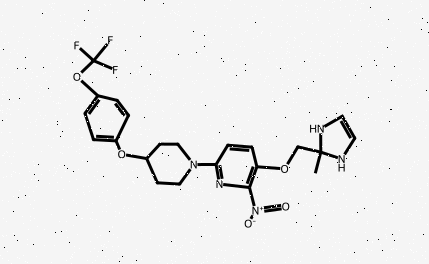 CC1(COc2ccc(N3CCC(Oc4ccc(OC(F)(F)F)cc4)CC3)nc2[N+](=O)[O-])NC=CN1